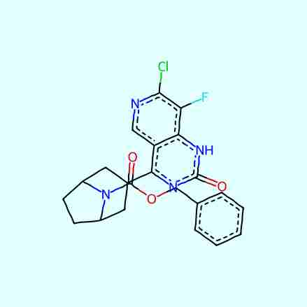 O=C(OCc1ccccc1)N1C2CCC1CC(c1nc(=O)[nH]c3c(F)c(Cl)ncc13)C2